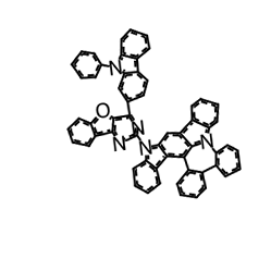 c1ccc(-n2c3ccccc3c3ccc(-c4nc(-n5c6ccccc6c6c7c8c(cc65)c5ccccc5n8-c5ccccc5-c5ccccc5-7)nc5c4oc4ccccc45)cc32)cc1